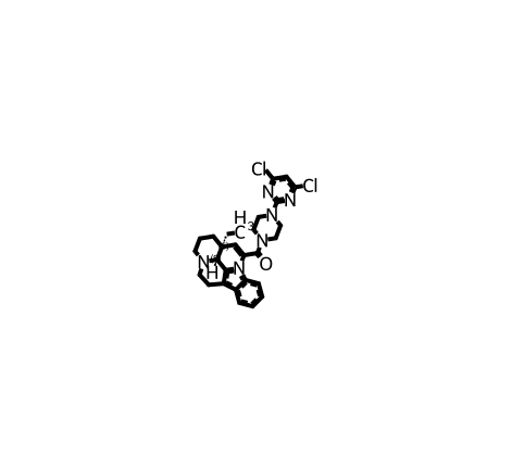 CC[C@@]12C=C(C(=O)N3CCN(c4nc(Cl)cc(Cl)n4)CC3)n3c4c(c5ccccc53)CCN(CCC1)[C@H]42